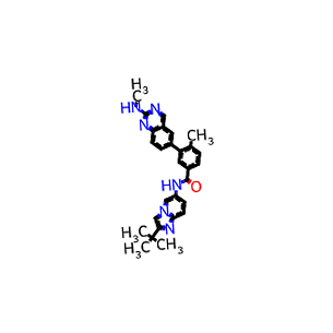 CNc1ncc2cc(-c3cc(C(=O)Nc4ccc5nc(C(C)(C)C)cn5c4)ccc3C)ccc2n1